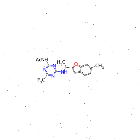 CC(=O)Nc1nc(NC(C)c2cc3ccc(C)cc3o2)nc(C(F)(F)F)n1